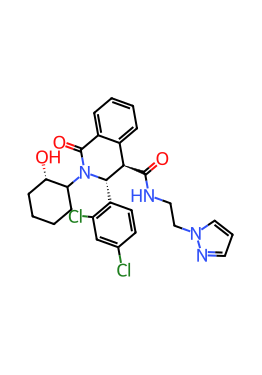 O=C(NCCn1cccn1)[C@@H]1c2ccccc2C(=O)N(C2CCCC[C@@H]2O)[C@H]1c1ccc(Cl)cc1Cl